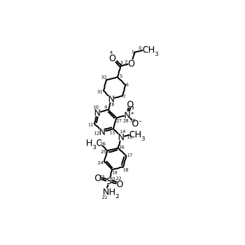 CCOC(=O)C1CCN(c2ncnc(N(C)c3ccc(S(N)(=O)=O)cc3C)c2[N+](=O)[O-])CC1